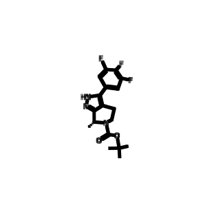 C[C@@H]1c2n[nH]c(-c3cc(F)c(F)c(F)c3)c2CCN1C(=O)OC(C)(C)C